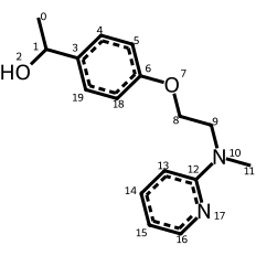 CC(O)c1ccc(OCCN(C)c2ccccn2)cc1